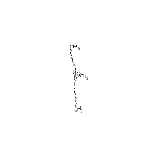 CCCCCCCCCCCCCCN(CCCCCCCCCCCCCC)CC(C)O